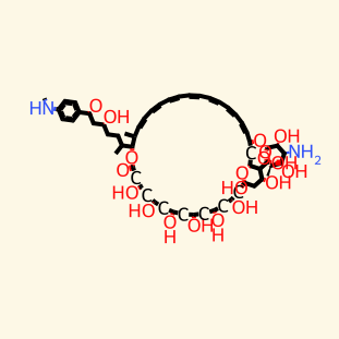 CNc1ccc(C(=O)CC(O)CCC(C)C2OC(=O)CC(O)CC(O)CC(O)CC(O)CC(O)CC(O)CC3(O)CC(O)C(C(=O)O)C(CC(OC4O[C@H](C)[C@@H](O)[C@H](N)[C@@H]4O)C=CC=CC=CC=CC=CC=CC=CC2C)O3)cc1